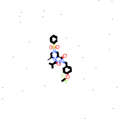 CC(C)C(=O)N1[C@@H](C)CN(S(=O)(=O)c2ccccc2)C[C@H]1C(=O)NCc1ccc(OC(C)(F)F)cc1